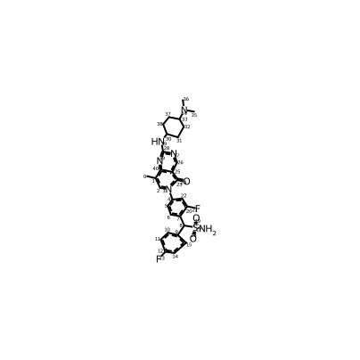 Cc1cn(-c2ccc(C(c3ccc(F)cc3)S(N)(=O)=O)c(F)c2)c(=O)c2cnc(NC3CCC(N(C)C)CC3)nc12